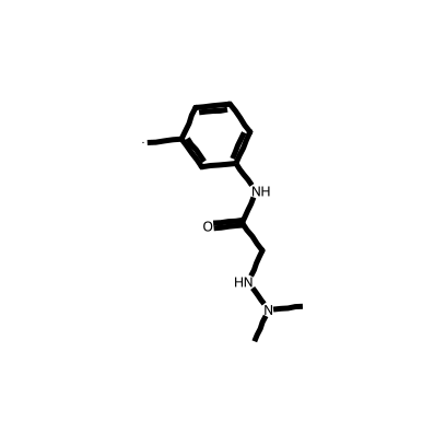 [CH2]c1cccc(NC(=O)CNN(C)C)c1